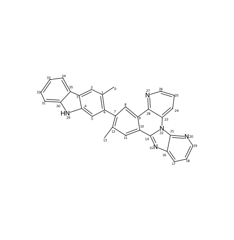 Cc1cc2c(cc1-c1cc3c(cc1C)c1nc4cccnc4n1c1cccnc31)[nH]c1ccccc12